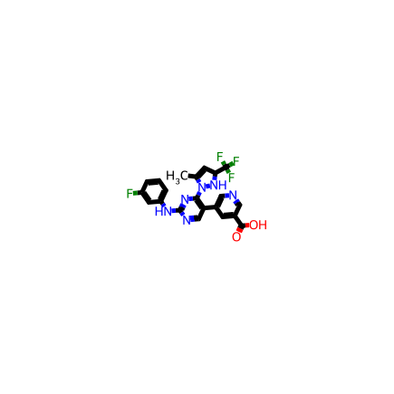 CC1=CC(C(F)(F)F)NN1c1nc(Nc2cccc(F)c2)ncc1-c1cncc(C(=O)O)c1